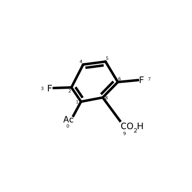 CC(=O)c1c(F)ccc(F)c1C(=O)O